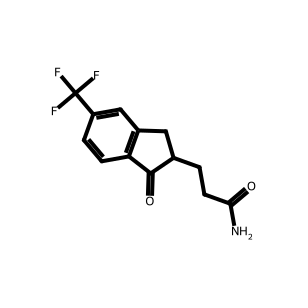 NC(=O)CCC1Cc2cc(C(F)(F)F)ccc2C1=O